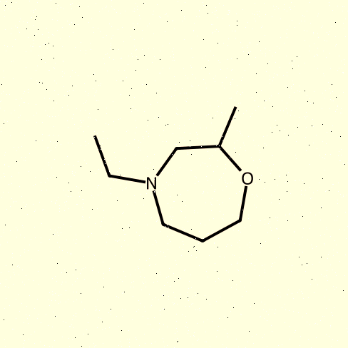 CCN1CCCOC(C)C1